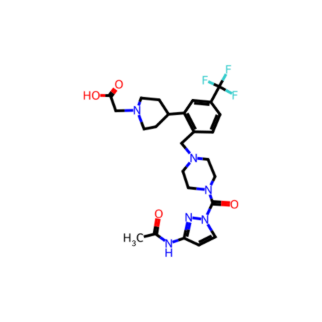 CC(=O)Nc1ccn(C(=O)N2CCN(Cc3ccc(C(F)(F)F)cc3C3CCN(CC(=O)O)CC3)CC2)n1